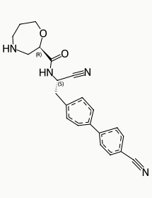 N#Cc1ccc(-c2ccc(C[C@@H](C#N)NC(=O)[C@H]3CNCCCO3)cc2)cc1